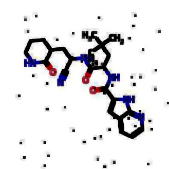 CC(C)(C)CC(NC(=O)c1cc2cccnc2[nH]1)C(=O)NC(C#N)CC1CCCNC1=O